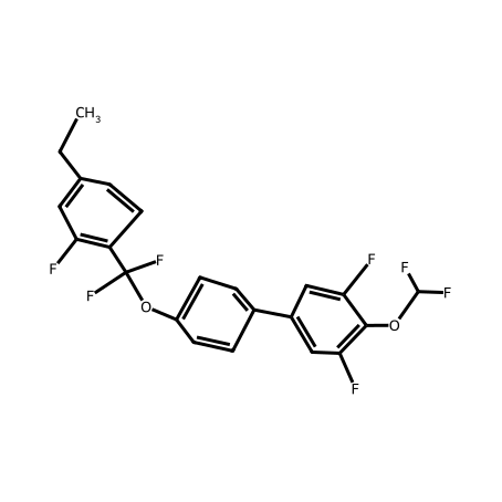 CCc1ccc(C(F)(F)Oc2ccc(-c3cc(F)c(OC(F)F)c(F)c3)cc2)c(F)c1